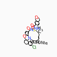 CO[C@H]1/C=C/C[C@H](C)CS(=O)(NC(=O)c2ccc3c(c2)COCC3)=NC(=O)c2ccc3c(c2)N(C[C@@H]2CC[C@H]21)C[C@@]1(CCCc2cc(Cl)ccc21)CO3